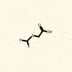 O=C(O)CSC(F)F